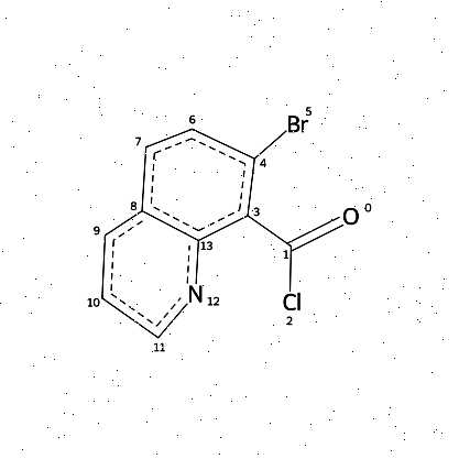 O=C(Cl)c1c(Br)ccc2cccnc12